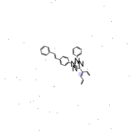 C=C/C=C(\C=C)c1nn(-c2ccccc2)[n+](-c2ccc(C=Cc3ccccc3)cc2)n1